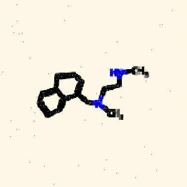 CNCCN(C)Cc1cccc2ccccc12